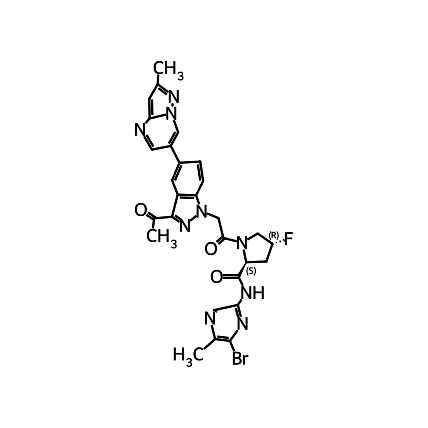 CC(=O)c1nn(CC(=O)N2C[C@H](F)C[C@H]2C(=O)Nc2cnc(C)c(Br)n2)c2ccc(-c3cnc4cc(C)nn4c3)cc12